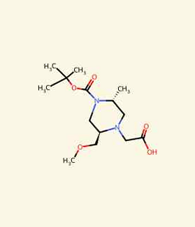 COC[C@H]1CN(C(=O)OC(C)(C)C)[C@H](C)CN1CC(=O)O